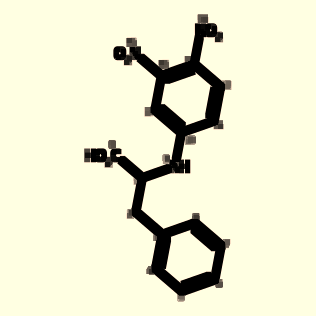 O=C(O)C(Cc1ccccc1)Nc1ccc([N+](=O)[O-])c([N+](=O)[O-])c1